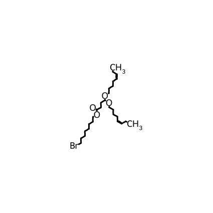 CC/C=C\CCCCOC(CCC(=O)OCCCCCCCCBr)OCCCC/C=C\CC